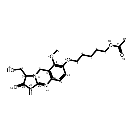 COc1c(OCCCCCOC(C)=O)ccc2c1CN1C(=N2)NC(=O)C1CO